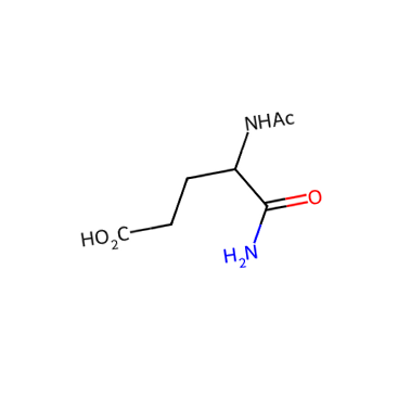 CC(=O)NC(CCC(=O)O)C(N)=O